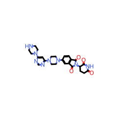 O=C1CCC(N2C(=O)c3ccc(N4CCN(c5cc(N6CCNCC6)ncn5)CC4)cc3C2=O)C(=O)N1